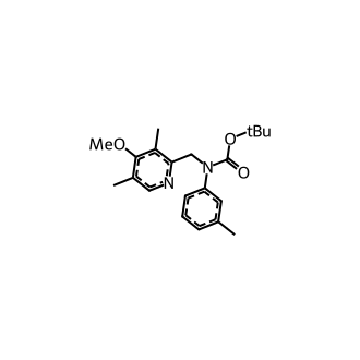 COc1c(C)cnc(CN(C(=O)OC(C)(C)C)c2cccc(C)c2)c1C